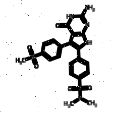 CN(C)S(=O)(=O)c1ccc(-c2[nH]c3nc(N)[nH]c(=O)c3c2-c2ccc(S(C)(=O)=O)cc2)cc1